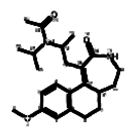 COc1ccc2c(c1)CCC1CCNC(=O)C(CC(C)N(C(C)=O)C(C)C)=C21